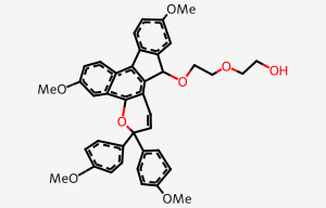 COc1ccc(C2(c3ccc(OC)cc3)C=Cc3c4c(c5ccc(OC)cc5c3O2)-c2ccc(OC)cc2C4OCCOCCO)cc1